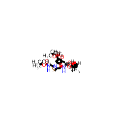 COc1c(C[C@H](NC(=O)Cc2csc(CNC(=O)OC(C)(C)C)n2)B2O[C@@H]3C[C@@H]4C[C@@H](C4(C)C)[C@]3(C)O2)cccc1C(=O)OC(C)(C)C